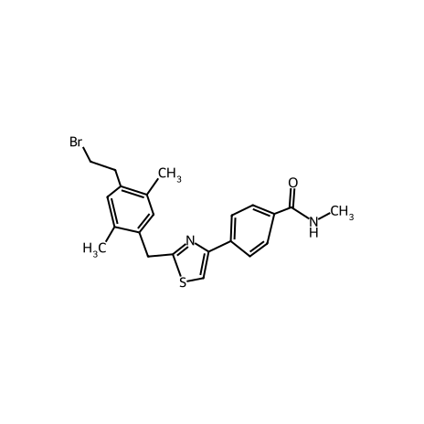 CNC(=O)c1ccc(-c2csc(Cc3cc(C)c(CCBr)cc3C)n2)cc1